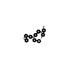 Fc1ccc2c3ccc(F)cc3n(-c3cccc(-c4ccc(N(c5ccc(-c6cccc7sc8ccccc8c67)cc5)c5cccc(C6CCCCC6)c5)cc4)c3)c2c1